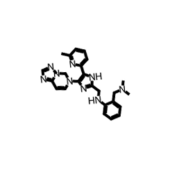 Cc1cccc(-c2[nH]c(CNc3ccccc3CN(C)C)nc2N2C=Cc3ncnn3C2)n1